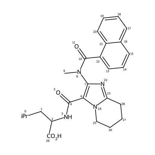 CC(C)CC(NC(=O)c1c(N(C)C(=O)c2cccc3ccccc23)nc2n1CCCC2)C(=O)O